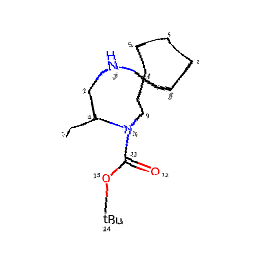 CC1CNC2(CCCC2)CN1C(=O)OC(C)(C)C